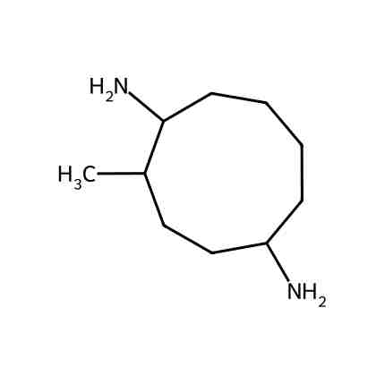 CC1CCC(N)CCCCC1N